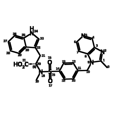 Cc1nc2cnccc2n1Cc1ccc(S(=O)(=O)N(C)[C@@H](Cc2c[nH]c3ccccc23)C(=O)O)cc1